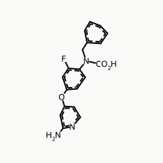 Nc1cc(Oc2ccc(N(Cc3ccccc3)C(=O)O)c(F)c2)ccn1